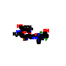 C#Cc1c(F)ccc2cc(O)cc(-c3ncc4c(N5CC6CCC(C5)N6)nc(OCCC5CC(C)(COc6cc([C@H](C(=O)N7C[C@H](O)C[C@H]7C(=O)N[C@@H](C)c7ccc(-c8scnc8C)cc7)C(C)C)on6)CCN5)nc4c3F)c12